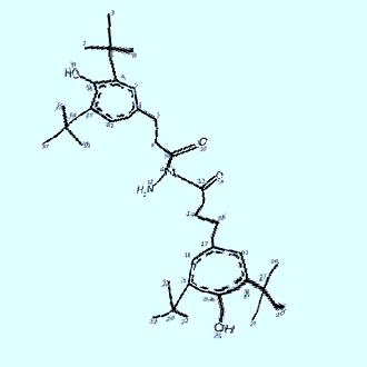 CC(C)(C)c1cc(CCC(=O)N(N)C(=O)CCc2cc(C(C)(C)C)c(O)c(C(C)(C)C)c2)cc(C(C)(C)C)c1O